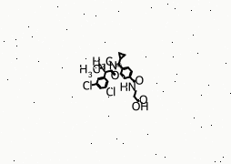 CN=C(C(=O)N(C)[C@@H](c1ccc(C(=O)NCCC(=O)O)cc1)C1CC1)c1cc(Cl)cc(Cl)c1